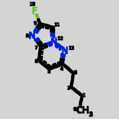 CCCCc1ccc2nc(F)cn2n1